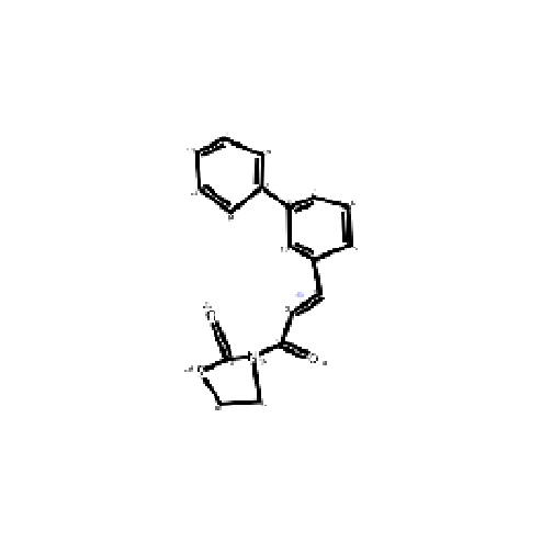 O=C(/C=C/c1cccc(-c2ccccc2)c1)N1CCSC1=O